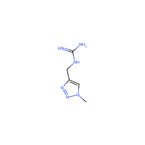 Cn1cc(CNC(=N)N)nn1